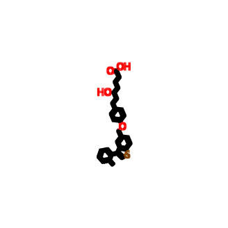 Cc1ccccc1-c1csc2ccc(COc3ccc(CC[C@@H](O)CCCC(=O)O)cc3)cc12